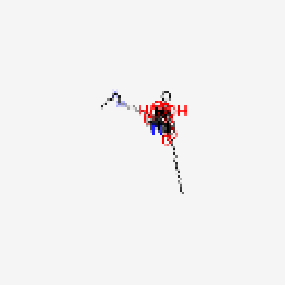 CCCCC/C=C\C/C=C\CCCCCCCC(=O)O[C@]12[C@H]3[C@@H](OC(=O)c4ccccc4)[C@](O)(C[C@H]3[C@@]34[C@@H](OC)C[C@@H](OC(=O)CCCCCCCCCCCCCCC)[C@@]5(COC)CN(C)[C@@H]3[C@@H]1C[C@H]54)[C@@H](OC)[C@@H]2O